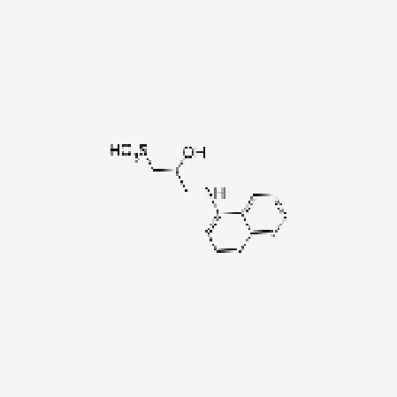 O=S(=O)(O)CC(O)CNc1cccc2ccccc12